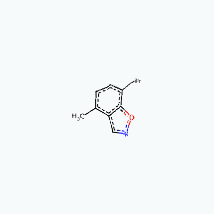 Cc1ccc(C(C)C)c2oncc12